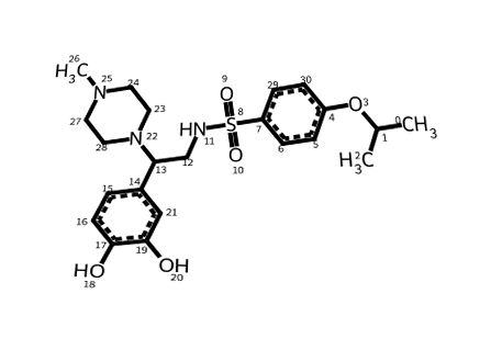 CC(C)Oc1ccc(S(=O)(=O)NCC(c2ccc(O)c(O)c2)N2CCN(C)CC2)cc1